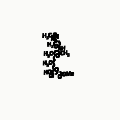 COC(=O)C[C@@H]1C[C@@]2(CO2)[C@H](O)[C@@H](/C=C/C(C)=C/C[C@@H]2O[C@H](C)[C@H](NC(=O)/C=C\[C@H](C)c3noc(C)n3)C[C@@H]2C)O1